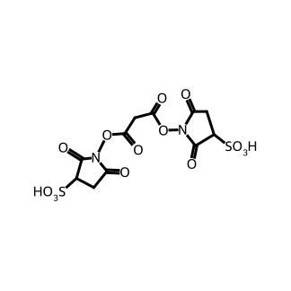 O=C(CC(=O)ON1C(=O)CC(S(=O)(=O)O)C1=O)ON1C(=O)CC(S(=O)(=O)O)C1=O